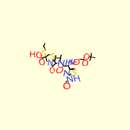 CCCSC1(C(=O)O)CS[C@@H]2C(NC(=O)C(=NOCC(=O)OC(C)(C)C)c3csc(NC=O)n3)C(=O)N2C1